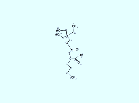 CCCCC(CC(=O)OCC(CC)(CO)CO)C(=O)O